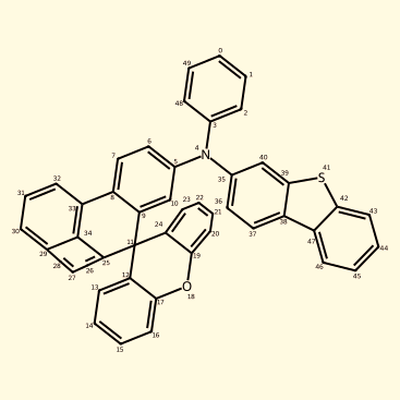 c1ccc(N(c2ccc3c(c2)C2(c4ccccc4Oc4ccccc42)c2cccc4cccc-3c24)c2ccc3c(c2)sc2ccccc23)cc1